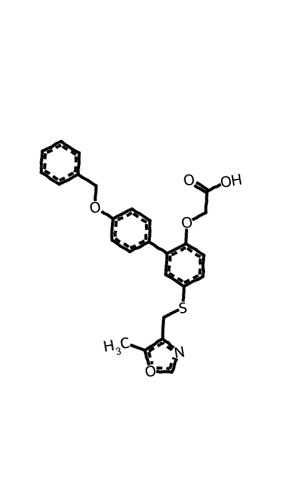 Cc1ocnc1CSc1ccc(OCC(=O)O)c(-c2ccc(OCc3ccccc3)cc2)c1